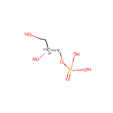 O=P(O)(O)O[13CH2][13C@H](O)CO